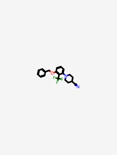 N#CC1CCN(c2cccc(OCc3ccccc3)c2C(F)(F)F)CC1